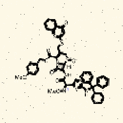 CO/N=C(\C(=O)NC1C(=O)N2C(C(=O)OCc3ccc(OC)cc3)=C(CSc3cc(=O)c4ccccc4s3)C[S+]([O-])[C@@H]12)c1csc(NC(c2ccccc2)(c2ccccc2)c2ccccc2)n1